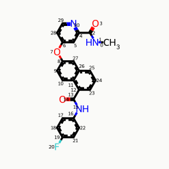 CNC(=O)c1cc(Oc2ccc3c(C(=O)Nc4ccc(F)cc4)cccc3c2)ccn1